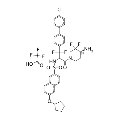 N[C@H]1CCN(C(=O)C(NS(=O)(=O)c2ccc3cc(OC4CCCC4)ccc3c2)C(F)(F)c2ccc(-c3ccc(Cl)cc3)cc2)CC1(F)F.O=C(O)C(F)(F)F